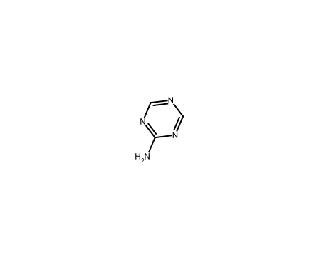 Nc1ncncn1